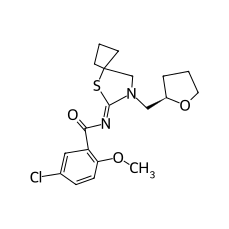 COc1ccc(Cl)cc1C(=O)/N=C1\SC2(CCC2)CN1C[C@H]1CCCO1